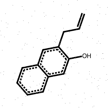 C=CCc1cc2ccccc2[c]c1O